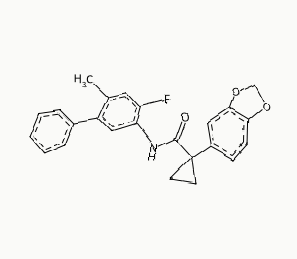 Cc1cc(F)c(NC(=O)C2(c3ccc4c(c3)OCO4)CC2)cc1-c1ccccc1